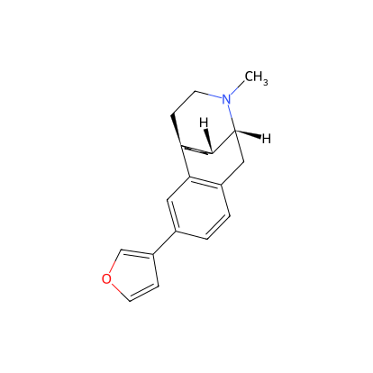 CN1CC[C@]23CCCC[C@H]2[C@H]1Cc1ccc(-c2ccoc2)cc13